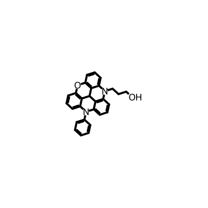 OCCCN1c2cccc3c2C2c4c(cccc4N(c4ccccc4)c4cccc1c42)O3